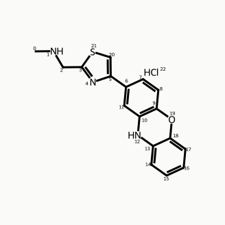 CNCc1nc(-c2ccc3c(c2)Nc2ccccc2O3)cs1.Cl